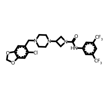 O=C(Nc1cc(C(F)(F)F)cc(C(F)(F)F)c1)N1CC(N2CCN(Cc3cc4c(cc3Cl)OCO4)CC2)C1